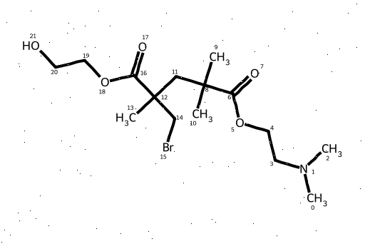 CN(C)CCOC(=O)C(C)(C)CC(C)(CBr)C(=O)OCCO